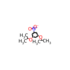 CC(C)Oc1cc(OC(C)C)cc([N+](=O)[O-])c1